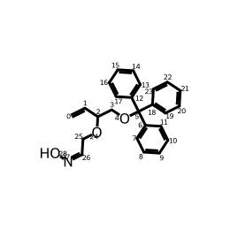 C=CC(COC(c1ccccc1)(c1ccccc1)c1ccccc1)OC/C=N\O